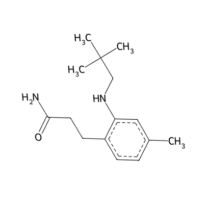 Cc1ccc(CCC(N)=O)c(NCC(C)(C)C)c1